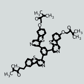 C=C(C)C(=O)CCc1ccc2sc3c(-c4cc(-c5cncc6c5sc5ccc(OCC(=O)C(=C)C)cc56)cc(-c5cncc6c5sc5ccc(OCC(=O)C(=C)C)cc56)c4)cncc3c2c1